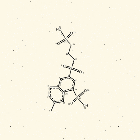 Cc1ccc2cc(S(=O)(=O)CCOS(=O)(=O)O)cc(S(=O)(=O)O)c2c1